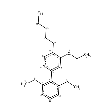 CCOc1cc(-c2c(CC)cccc2CC)ncc1CCCCO